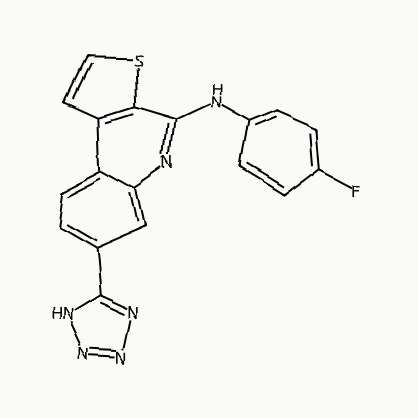 Fc1ccc(Nc2nc3cc(-c4nnn[nH]4)ccc3c3ccsc23)cc1